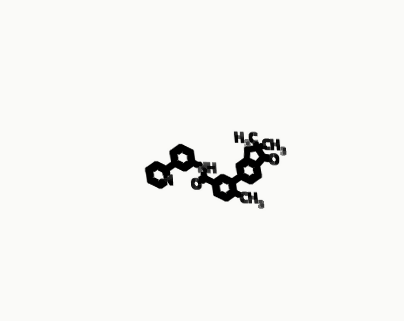 Cc1ccc(C(=O)Nc2cccc(-c3ccccn3)c2)cc1-c1ccc2c(c1)CC(C)(C)C2=O